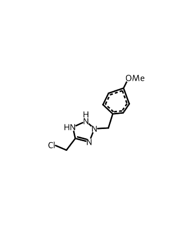 COc1ccc(CN2N=C(CCl)NN2)cc1